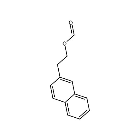 O=[C]OCCc1ccc2ccccc2c1